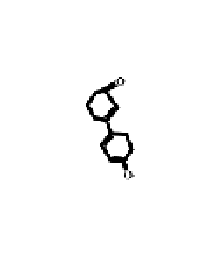 [O]C1=CC=C(C2=CC(=O)CCC2)CC1